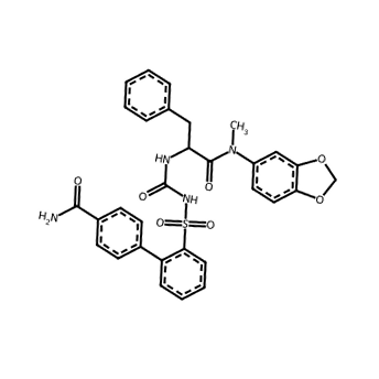 CN(C(=O)C(Cc1ccccc1)NC(=O)NS(=O)(=O)c1ccccc1-c1ccc(C(N)=O)cc1)c1ccc2c(c1)OCO2